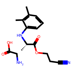 Cc1cccc(N[C@@H](C)C(=O)OCCC#N)c1C.NCC(=O)O